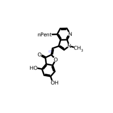 CCCCCc1ccnc2c1c(/C=C1\Oc3cc(O)cc(O)c3C1=O)cn2C